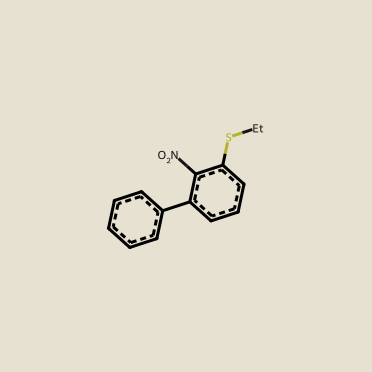 CCSc1cccc(-c2ccccc2)c1[N+](=O)[O-]